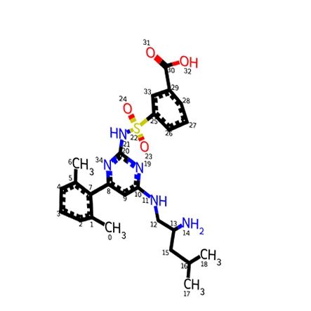 Cc1cccc(C)c1-c1cc(NCC(N)CC(C)C)nc(NS(=O)(=O)c2cccc(C(=O)O)c2)n1